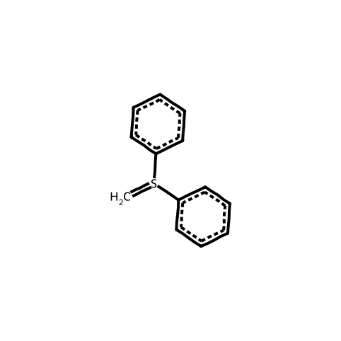 C=S(c1ccccc1)c1ccccc1